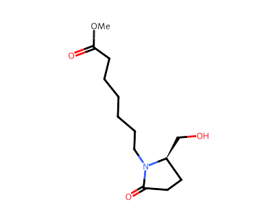 COC(=O)CCCCCCN1C(=O)CC[C@@H]1CO